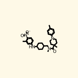 Cc1ccc(N2CCC(C)(C(=O)N(C)CC3CCC(Nc4ccc([N+](=O)[O-])c(C)c4)CC3)CC2)cc1